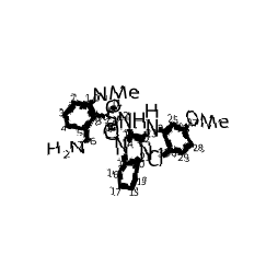 CNc1cccc(CN)c1S(=O)(=O)Nc1nc2ccccc2nc1Nc1cc(OC)ccc1Cl